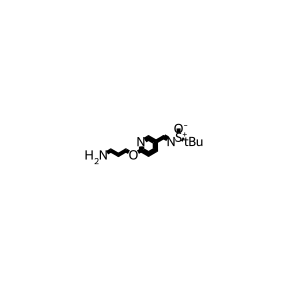 CC(C)(C)[S+]([O-])/N=C/c1ccc(OCCCN)nc1